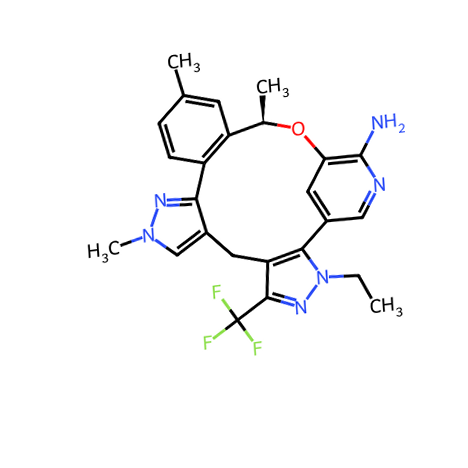 CCn1nc(C(F)(F)F)c2c1-c1cnc(N)c(c1)O[C@H](C)c1cc(C)ccc1-c1nn(C)cc1C2